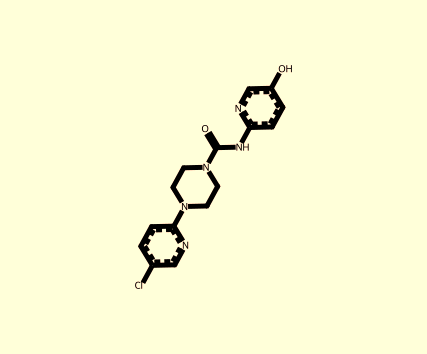 O=C(Nc1ccc(O)cn1)N1CCN(c2ccc(Cl)cn2)CC1